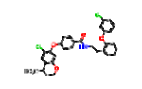 O=C(NCCc1ccccc1Oc1cccc(Cl)c1)c1ccc(Oc2cc3c(cc2Cl)C(C(=O)O)CCO3)cc1